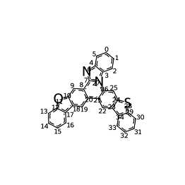 c1ccc2c(c1)nc1c3cc4oc5ccccc5c4cc3c3cc4c(cc3n21)sc1ccccc14